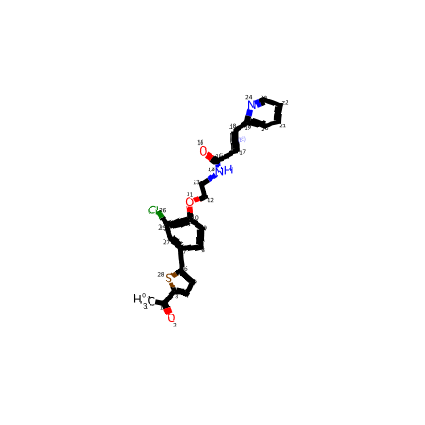 CC(=O)c1ccc(-c2ccc(OCCNC(=O)/C=C/c3ccccn3)c(Cl)c2)s1